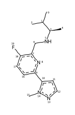 CC(C)[C@@H](C)NCc1nc(-c2ccnn2C)ccc1F